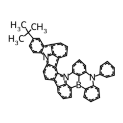 CC(C)(C)c1ccc2c(c1)c1cccc3c4c5c(ccc4n2c13)c1cccc2c1n5-c1cccc3c1B2c1ccccc1N3c1ccccc1